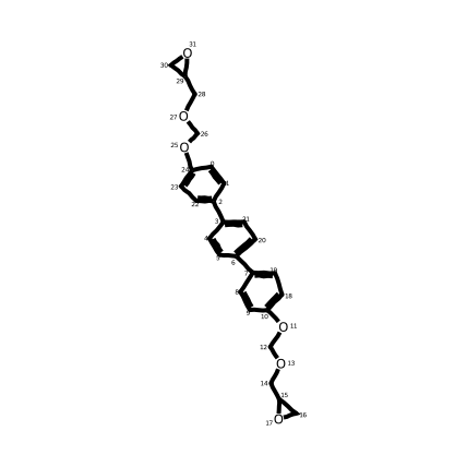 c1cc(-c2ccc(-c3ccc(OCOCC4CO4)cc3)cc2)ccc1OCOCC1CO1